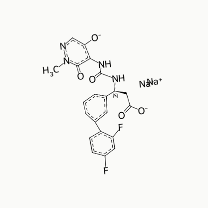 Cn1ncc([O-])c(NC(=O)N[C@@H](CC(=O)[O-])c2cccc(-c3ccc(F)cc3F)c2)c1=O.[Na+].[Na+]